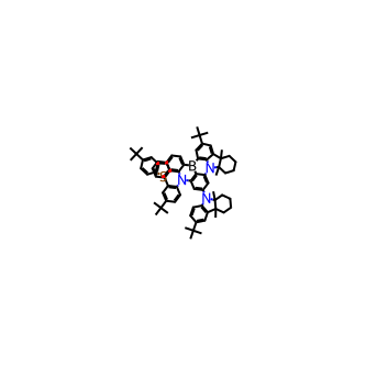 CC(C)(C)c1ccc(N2c3cc(N4c5ccc(C(C)(C)C)cc5C5(C)CCCCC45C)cc4c3B(c3cc(C(C)(C)C)cc5c3N4C3(C)CCCCC53C)c3ccc4c(sc5ccc(C(C)(C)C)cc54)c32)c(-c2ccccc2)c1